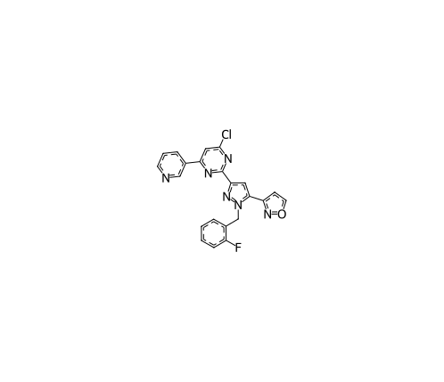 Fc1ccccc1Cn1nc(-c2nc(Cl)cc(-c3cccnc3)n2)cc1-c1ccon1